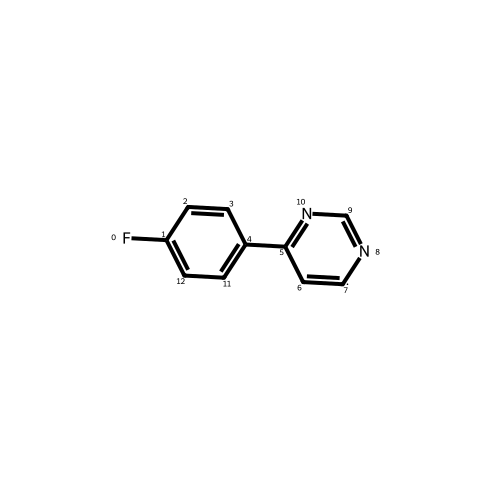 Fc1ccc(-c2c[c]ncn2)cc1